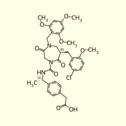 COc1cc(OC)c(CN2C[C@@H](Cc3cc(Cl)ccc3OC)C(=O)N(C(=O)N[C@@H](C)c3ccc(CC(=O)O)cc3)CC2=O)c(OC)c1